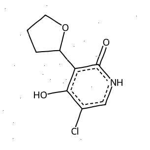 O=c1[nH]cc(Cl)c(O)c1C1CCCO1